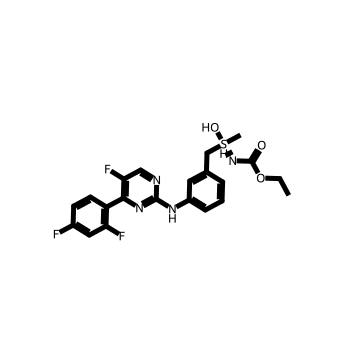 CCOC(=O)N=[SH](C)(O)Cc1cccc(Nc2ncc(F)c(-c3ccc(F)cc3F)n2)c1